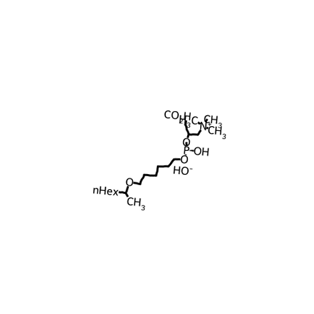 CCCCCCC(C)OCCCCCCO[P@](O)OC(CC(=O)O)C[N+](C)(C)C.[OH-]